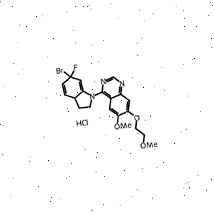 COCCOc1cc2ncnc(N3CCC4C=CC(F)(Br)C=C43)c2cc1OC.Cl